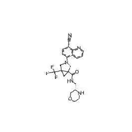 N#Cc1ccc(N2CC3(C(=O)NC[C@H]4COCCN4)CC3(C(F)(F)F)C2)c2cccnc12